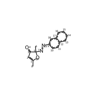 CC1=CC(=O)C(C)(/N=N/c2ccc3ccccc3c2)O1